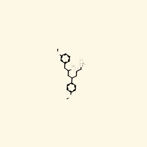 COc1ccc(C(CCCNO)CC(Cc2cccc(OC)c2)NO)cc1